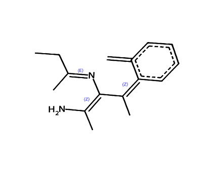 C=c1cccc/c1=C(C)/C(/N=C(\C)CC)=C(\C)N